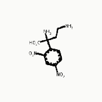 NCCC(N)(C(=O)O)c1ccc([N+](=O)[O-])cc1[N+](=O)[O-]